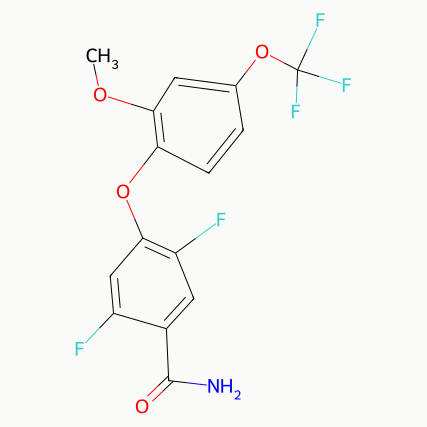 COc1cc(OC(F)(F)F)ccc1Oc1cc(F)c(C(N)=O)cc1F